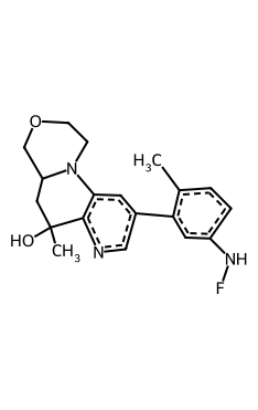 Cc1ccc(NF)cc1-c1cnc2c(c1)N1CCOCC1CC2(C)O